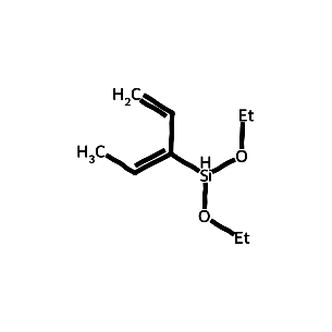 C=CC(=CC)[SiH](OCC)OCC